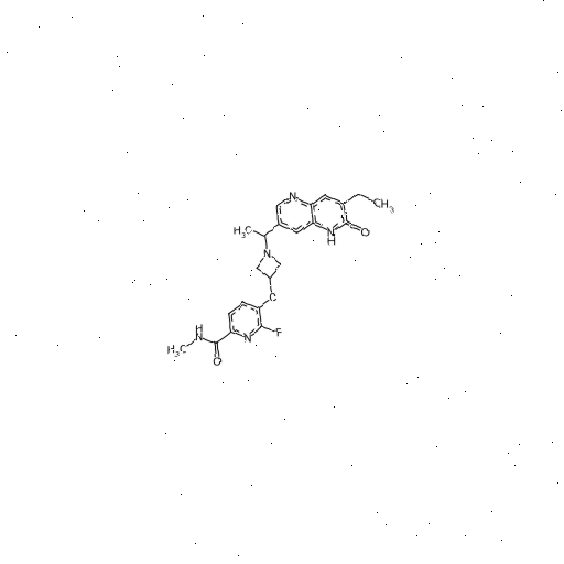 CCc1cc2ncc(C(C)N3CC(Oc4ccc(C(=O)NC)nc4F)C3)cc2[nH]c1=O